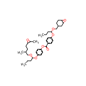 CCCC(OCC(C)CCC1OC1C)Oc1ccc(OC(=O)c2ccc(OC(CCC)OCC3CCC4OC4C3)cc2)cc1